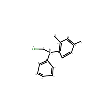 Cc1ccc([SiH](CCl)c2ccccc2)c(C)c1